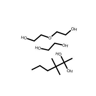 CCCC(C)(C)C(C)(O)O.OCCO.OCCOCCO